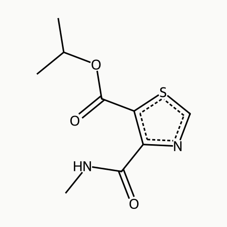 CNC(=O)c1ncsc1C(=O)OC(C)C